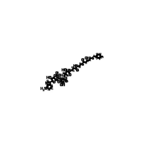 Cc1ccc(CSCC[C@@H](O)CC(=O)SCCNC(=O)CCNC(=O)[C@H](O)C(C)(C)COP(=O)(O)OP(=O)(O)OC[C@H]2O[C@@H](n3cnc4c(N)ncnc43)[C@H](O)[C@@H]2OP(=O)(O)O)cc1